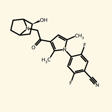 Cc1cc(C(=O)CN2C3CCC2[C@@H](O)C3)c(C)n1-c1cc(F)c(C#N)cc1F